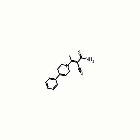 C/C(=C(/C#N)C(N)=S)N1CC=C(c2ccccc2)CC1